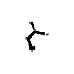 C[C@H](I)CO